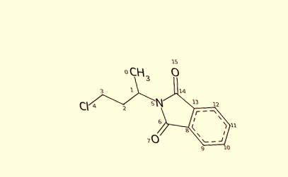 CC(CCCl)N1C(=O)c2ccccc2C1=O